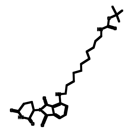 CC(C)(C)OC(=O)NCCCCCCCCCCCNc1cccc2c1C(=O)N(C1CCC(=O)NC1=O)C2=O